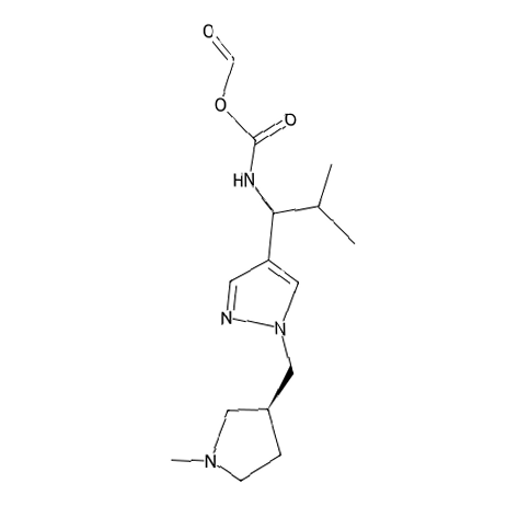 CC(C)C(NC(=O)OC=O)c1cnn(C[C@H]2CCN(C)C2)c1